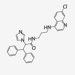 O=C(NCCCNc1ccnc2cc(Cl)ccc12)C(C(c1ccccc1)c1ccccc1)n1ccnc1